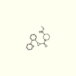 CSNC1CCCN(C(=O)C2CC2c2ccccc2-c2ccccn2)C1